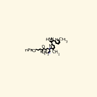 C=C(CCCOCCC)C(=O)CCC(/C=C\C)=c1\nc(-c2c[nH]nc2-c2cccc(C)n2)ccc1=C